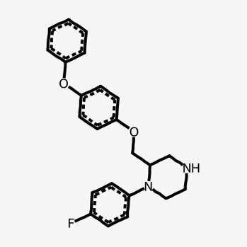 Fc1ccc(N2CCNCC2COc2ccc(Oc3ccccc3)cc2)cc1